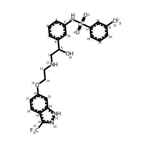 O=S(=O)(Nc1cccc(C(O)CNCCOc2ccc3c(C(F)(F)F)n[nH]c3c2)c1)c1cccc(C(F)(F)F)c1